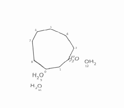 C1CCCCCCCC1.O.O.O.O